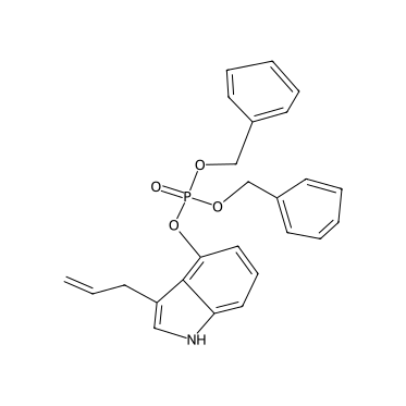 C=CCc1c[nH]c2cccc(OP(=O)(OCc3ccccc3)OCc3ccccc3)c12